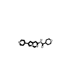 O=C(Nc1cc2cc(-c3ccncc3)cn2cn1)C1CCOCC1